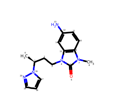 C[C@@H](CCn1c(=O)n(C)c2ccc(N)cc21)n1cccn1